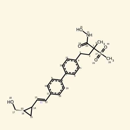 CC(CCc1ccc(-c2ccc(/C=C/C3C[C@@H]3CO)cc2)cc1)(C(=O)NO)S(C)(=O)=O